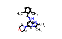 Cc1cccc(C)c1CNc1cc(N2CCOCC2)cn2c(C)c(C)nc12